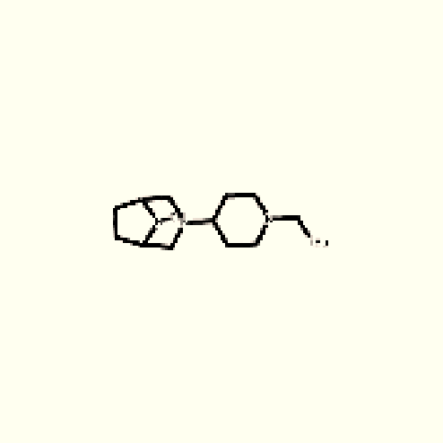 CN1C2CCC1CN(C1CCN(CC(C)(C)C)CC1)C2